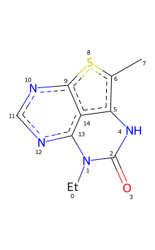 CCN1C(=O)Nc2c(C)sc3ncnc1c23